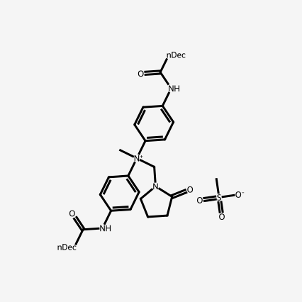 CCCCCCCCCCC(=O)Nc1ccc([N+](C)(CN2CCCC2=O)c2ccc(NC(=O)CCCCCCCCCC)cc2)cc1.CS(=O)(=O)[O-]